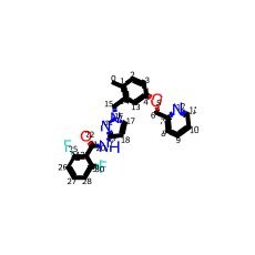 Cc1ccc(OCc2ccccn2)cc1Cn1ccc(NC(=O)c2c(F)cccc2F)n1